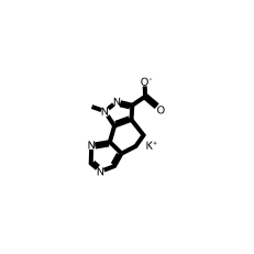 Cn1nc(C(=O)[O-])c2c1-c1ncncc1CC2.[K+]